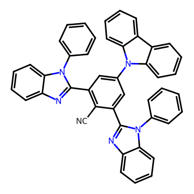 N#Cc1c(-c2nc3ccccc3n2-c2ccccc2)cc(-n2c3ccccc3c3ccccc32)cc1-c1nc2ccccc2n1-c1ccccc1